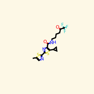 Cc1cnc(-c2nc(C(=O)NCCCCC(=O)C(F)(F)F)c(C3CC3)s2)s1